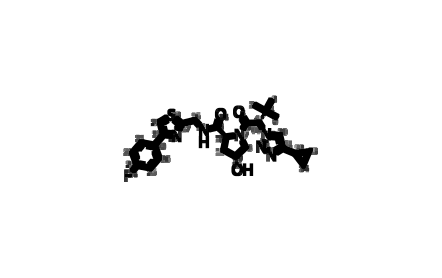 CC(C)(C)[C@@H](C(=O)N1C[C@H](O)C[C@H]1C(=O)NCc1nc(-c2ccc(F)cc2)cs1)n1cc(C2CC2)nn1